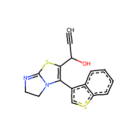 C#CC(O)C1=C(c2csc3ccccc23)N2CCN=C2S1